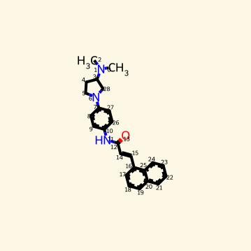 CN(C)C1CCN(c2ccc(NC(=O)/C=C/c3cccc4ccccc34)cc2)C1